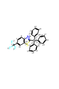 FC(F)(F)c1ccc2nc([Si](c3ccccc3)(c3ccccc3)c3ccccc3)sc2c1